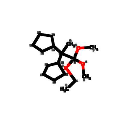 CCO[Si](OC)(OC)C(C)(C1CCCC1)C1CCCC1